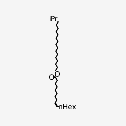 CCCCCC/C=C\CCCCCCCC(=O)OCCCCCCCCCCCCCCCCC(C)C